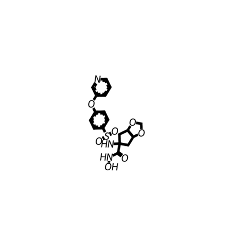 O=C(NO)C1(NS(=O)(=O)c2ccc(Oc3cccnc3)cc2)CC2OCOC2C1